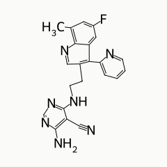 Cc1cc(F)cc2c(-c3ccccn3)c(CCNc3ncnc(N)c3C#N)cnc12